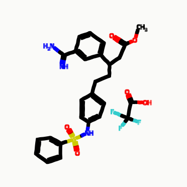 COC(=O)CC(CCc1ccc(NS(=O)(=O)c2ccccc2)cc1)c1cccc(C(=N)N)c1.O=C(O)C(F)(F)F